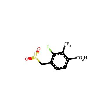 O=C(O)c1ccc(C[SH](=O)=O)c(F)c1C(F)(F)F